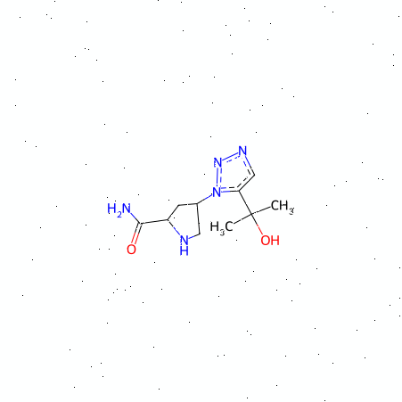 CC(C)(O)c1cnnn1C1CNC(C(N)=O)C1